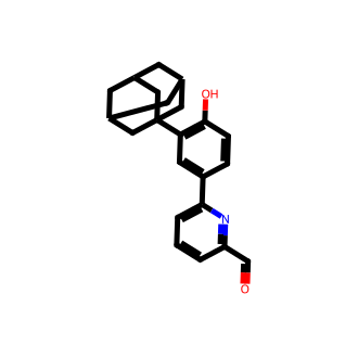 O=Cc1cccc(-c2ccc(O)c(C34CC5CC(CC(C5)C3)C4)c2)n1